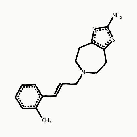 Cc1ccccc1C=CCN1CCc2nc(N)sc2CC1